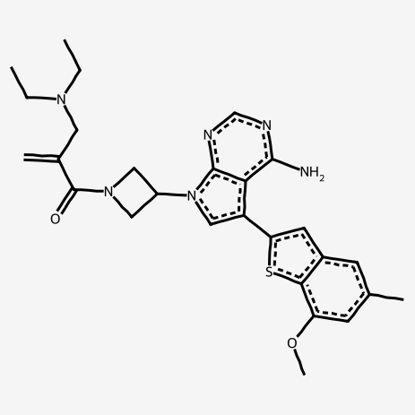 C=C(CN(CC)CC)C(=O)N1CC(n2cc(-c3cc4cc(C)cc(OC)c4s3)c3c(N)ncnc32)C1